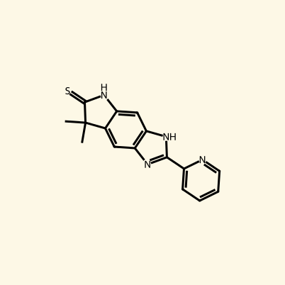 CC1(C)C(=S)Nc2cc3[nH]c(-c4ccccn4)nc3cc21